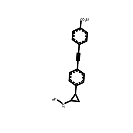 CCCNC1CC1c1ccc(C#Cc2ccc(C(=O)OCC)cc2)cc1